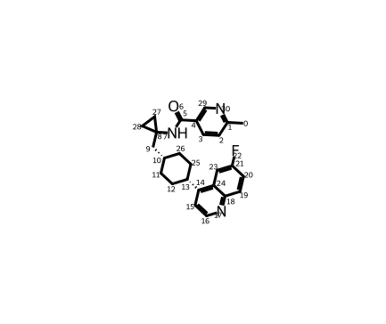 Cc1ccc(C(=O)NC2(C[C@H]3CC[C@@H](c4ccnc5ccc(F)cc54)CC3)CC2)cn1